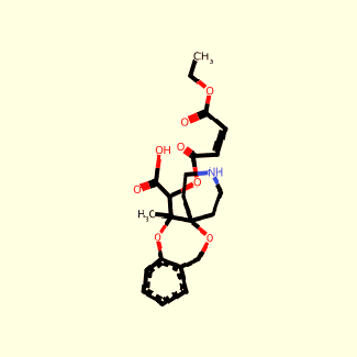 CCOC(=O)/C=C\C(=O)OC(C(=O)O)C1(C)Oc2ccccc2COC12CCNCC2